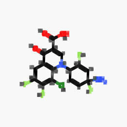 NC1(F)C=CC(n2cc(C(=O)O)c(=O)c3cc(F)c(F)c(Cl)c32)C(F)=C1